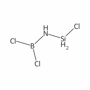 Cl[SiH2]NB(Cl)Cl